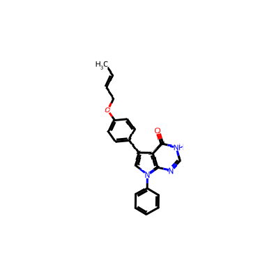 CC=CCOc1ccc(-c2cn(-c3ccccc3)c3nc[nH]c(=O)c23)cc1